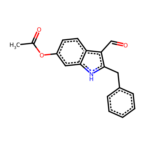 CC(=O)Oc1ccc2c(C=O)c(Cc3ccccc3)[nH]c2c1